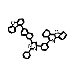 c1ccc(-c2nc(-c3cccc(-c4nc5c6ccccc6oc5c5ccccc45)c3)cc(-c3ccc4cc(-c5cccc6oc7ccccc7c56)ccc4c3)n2)cc1